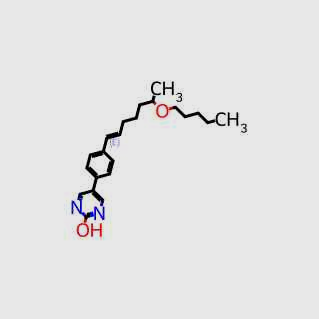 CCCCCOC(C)CCC/C=C/c1ccc(-c2cnc(O)nc2)cc1